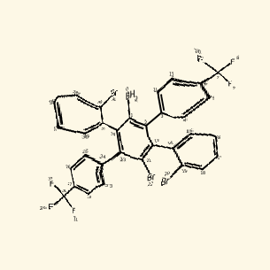 Bc1c(-c2ccc(C(F)(F)F)cc2)c(-c2ccccc2Br)c(Br)c(-c2ccc(C(F)(F)F)cc2)c1-c1ccccc1Br